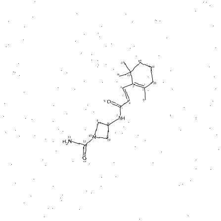 CC1=C(/C=C/C(=O)NC2CN(C(N)=O)C2)C(C)(C)CCC1